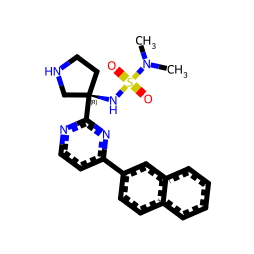 CN(C)S(=O)(=O)N[C@]1(c2nccc(-c3ccc4ccccc4c3)n2)CCNC1